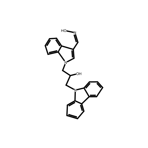 O/N=C\c1cn(CC(O)Cn2c3ccccc3c3ccccc32)c2ccccc12